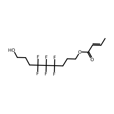 CC=CC(=O)OCCCC(F)(F)C(F)(F)C(F)(F)CCCO